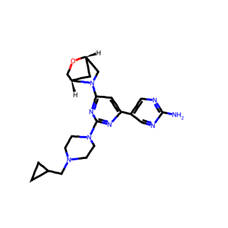 Nc1ncc(-c2cc(N3C[C@@H]4C[C@H]3CO4)nc(N3CCN(CC4CC4)CC3)n2)cn1